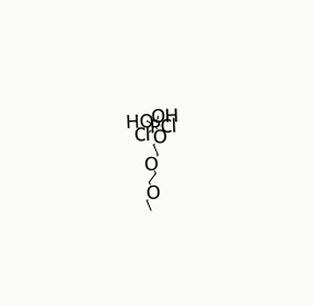 CCOCCOCCOP(O)(O)(Cl)Cl